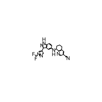 N#Cc1cnc2c(c1)CCCC2Nc1ccc2[nH]nc(-c3cnn(C(F)F)c3)c2c1